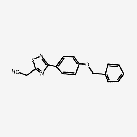 OCc1nc(-c2ccc(OCc3ccccc3)cc2)ns1